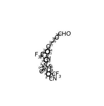 CC1(C)C(=O)N(c2ccc(C#N)c(C(F)(F)F)c2F)C(=S)N1c1cnc(-c2ccc(OCCCCOCC=O)cc2C(F)(F)F)c(F)c1